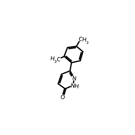 Cc1ccc(-c2ccc(=O)[nH]n2)c(C)c1